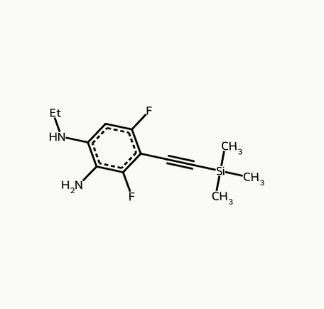 CCNc1cc(F)c(C#C[Si](C)(C)C)c(F)c1N